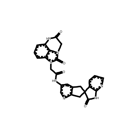 O=C(Cn1c(=O)n2c3c(cccc31)NC(=O)C2)Nc1cnc2c(c1)CC1(C2)C(=O)Nc2ncccc21